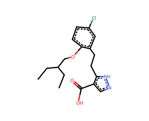 CCC(CC)COc1ccc(Cl)cc1CCc1[nH]ncc1C(=O)O